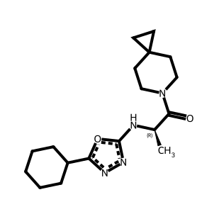 C[C@@H](Nc1nnc(C2CCCCC2)o1)C(=O)N1CCC2(CC1)CC2